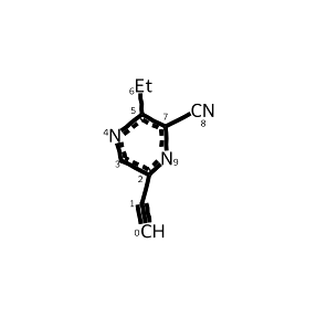 C#Cc1cnc(CC)c(C#N)n1